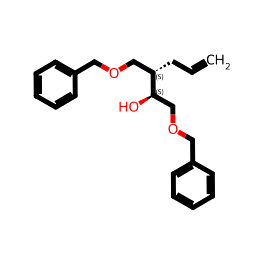 C=CC[C@@H](COCc1ccccc1)[C@H](O)COCc1ccccc1